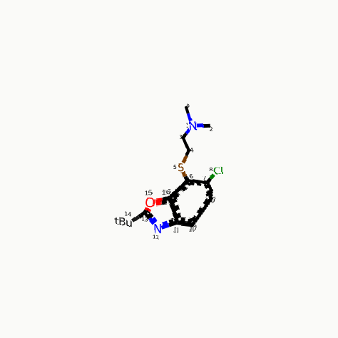 CN(C)CCSc1c(Cl)ccc2nc(C(C)(C)C)oc12